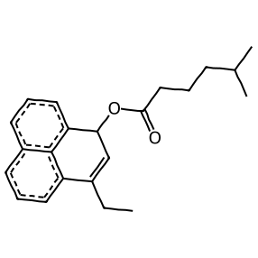 CCC1=CC(OC(=O)CCCC(C)C)c2cccc3cccc1c23